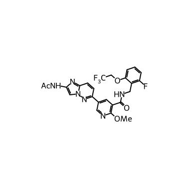 COc1ncc(-c2ccc3nc(NC(C)=O)cn3n2)cc1C(=O)NCc1c(F)cccc1OCC(F)(F)F